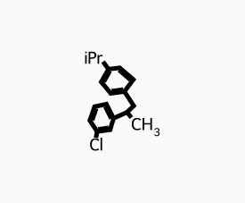 CC(C)c1ccc(CC(C)c2cccc(Cl)c2)cc1